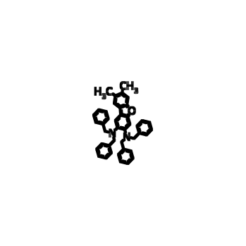 Cc1cc2oc3cc(N(Cc4ccccc4)Cc4ccccc4)c(N(Cc4ccccc4)Cc4ccccc4)cc3c2cc1C